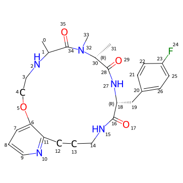 CC1NCCOc2cccnc2CCCNC(=O)[C@@H](Cc2ccc(F)cc2)NC(=O)[C@@H](C)N(C)C1=O